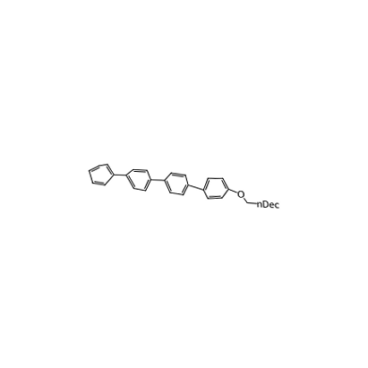 CCCCCCCCCCCOc1ccc(-c2ccc(-c3ccc(-c4ccccc4)cc3)cc2)cc1